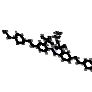 CCOc1ccc(N=Nc2ccc(/C=C/c3ccc(N=Nc4ccc(OCC)cc4)cc3S(=O)(=O)[O-])c(S(=O)(=O)[O-])c2)cc1.[Na+].[Na+]